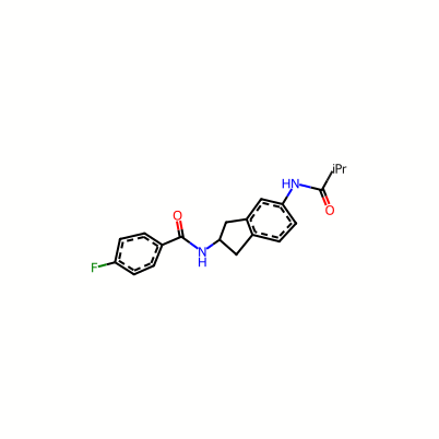 CC(C)C(=O)Nc1ccc2c(c1)CC(NC(=O)c1ccc(F)cc1)C2